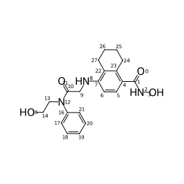 O=C(NO)c1ccc(NCC(=O)N(CCO)c2ccccc2)c2c1CCCC2